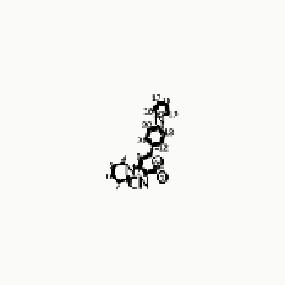 N#Cc1c(N2CCCCC2)cc(-c2ccc(-n3cccc3)cc2)oc1=O